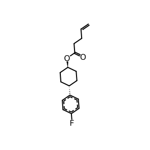 C=CCCC(=O)O[C@H]1CC[C@H](c2ccc(F)cc2)CC1